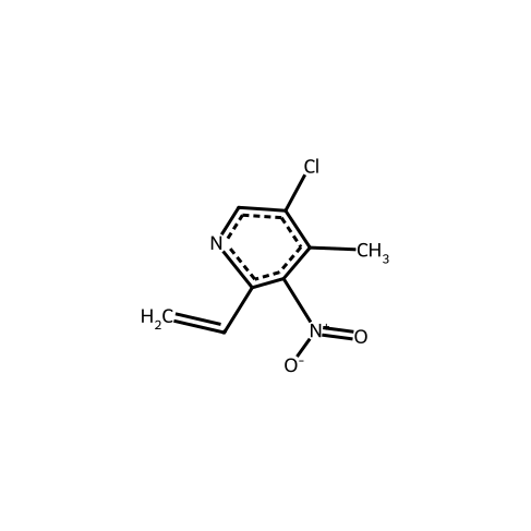 C=Cc1ncc(Cl)c(C)c1[N+](=O)[O-]